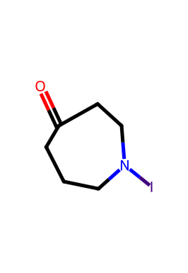 O=C1CCCN(I)CC1